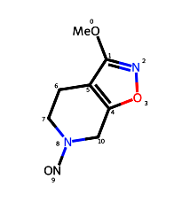 COc1noc2c1CCN(N=O)C2